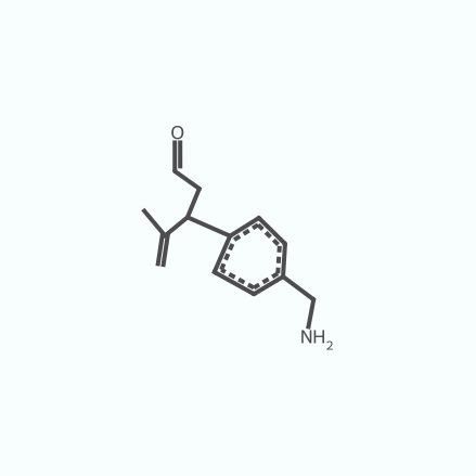 C=C(C)C(CC=O)c1ccc(CN)cc1